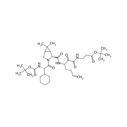 C=CCCC(NC(=O)[C@@H]1C2C(CN1C(=O)[C@@H](NC(=O)OC(C)(C)C)C1CCCCC1)C2(C)C)C(=O)C(=O)NCCC(=O)OC(C)(C)C